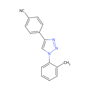 Cc1ccccc1-n1cc(-c2ccc(C#N)cc2)nn1